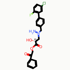 NN(Cc1ccc(-c2cc(Cl)ccc2F)cc1)C[C@@H](O)C(=O)OCC(=O)c1ccccc1